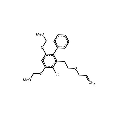 C=CCOCCc1c(CC)c(OCOC)cc(OCOC)c1-c1ccccc1